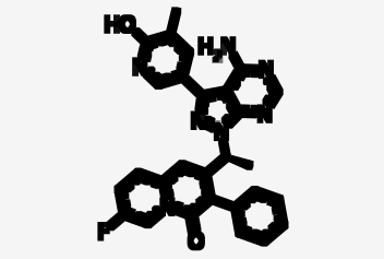 Cc1cc(-c2nn([C@@H](C)c3cc4ccc(F)cn4c(=O)c3-c3ccccc3)c3ncnc(N)c23)cnc1O